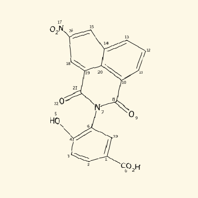 O=C(O)c1ccc(O)c(N2C(=O)c3cccc4cc([N+](=O)[O-])cc(c34)C2=O)c1